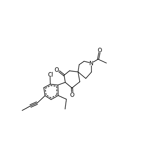 CC#Cc1cc(Cl)c(C2C(=O)CC3(CCN(C(C)=O)CC3)CC2=O)c(CC)c1